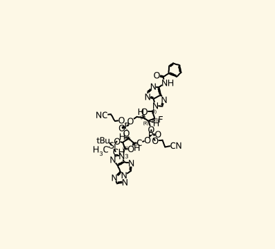 CC(C)(C)[Si](C)(C)OC1[C@H](n2cnc3c2ncn2ncnc32)O[C@@H]2COP(=O)(OCCC#N)O[C@H]3[C@@H](F)[C@H](n4cnc5c(NC(=O)c6ccccc6)ncnc54)O[C@@H]3COP(=O)(OCCC#N)O[C@@H]12